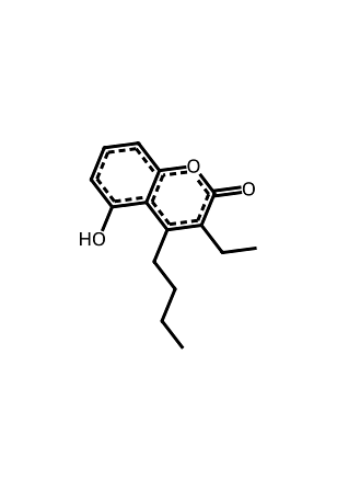 CCCCc1c(CC)c(=O)oc2cccc(O)c12